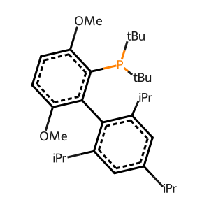 COc1ccc(OC)c(P(C(C)(C)C)C(C)(C)C)c1-c1c(C(C)C)cc(C(C)C)cc1C(C)C